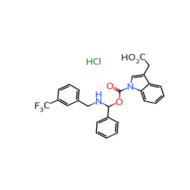 Cl.O=C(O)Cc1cn(C(=O)OC(NCc2cccc(C(F)(F)F)c2)c2ccccc2)c2ccccc12